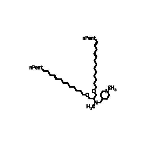 CCCCCC=CCC=CCCCCCCCCOCC(COCCCCCCCCC=CCC=CCCCCC)N(C)CC1CCN(C)CC1